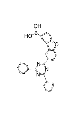 OB(O)c1ccc2oc3ccc(-c4nc(-c5ccccc5)nc(-c5ccccc5)n4)cc3c2c1